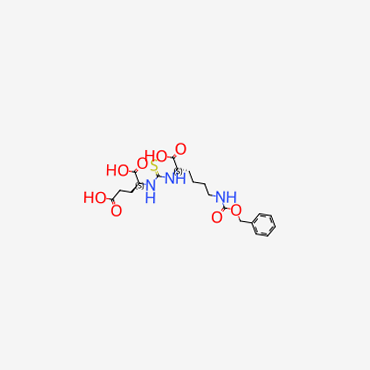 O=C(O)CC[C@H](NC(=S)N[C@@H](CCCCNC(=O)OCc1ccccc1)C(=O)O)C(=O)O